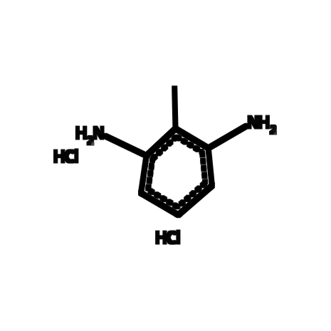 Cc1c(N)cccc1N.Cl.Cl